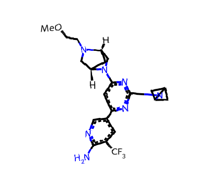 COCCN1C[C@@H]2C[C@H]1CN2c1cc(-c2cnc(N)c(C(F)(F)F)c2)nc(N2CC3CC2C3)n1